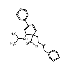 CC(C)NC1C=C(c2ccccc2)C=CC1(CCNCc1ccccc1)C(=O)O